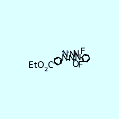 CCOC(=O)c1ccc(N(Cn2nnn(-c3c(F)cccc3F)c2=O)N(C)C)cc1